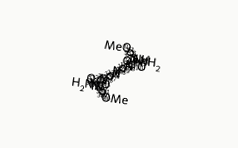 COc1ccc(N2NC(C(N)=O)C3=C2C(=O)N(c2ccc(/N=N/c4ccc(N5CCc6c(C(N)=O)nn(-c7ccc(OC)cc7)c6C5=O)cc4)cc2)CC3)cc1